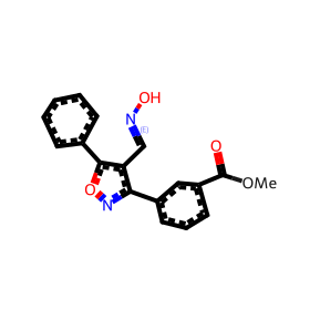 COC(=O)c1cccc(-c2noc(-c3ccccc3)c2/C=N/O)c1